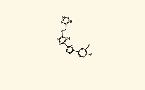 Fc1ccc(-c2ccc(-c3nnc(SCc4nnc[nH]4)[nH]3)o2)cc1F